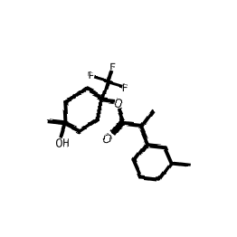 CC1CCCC(C(C)C(=O)OC2(C(F)(F)F)CCC(C)(O)CC2)C1